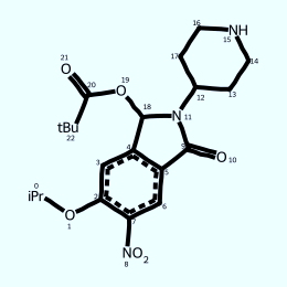 CC(C)Oc1cc2c(cc1[N+](=O)[O-])C(=O)N(C1CCNCC1)C2OC(=O)C(C)(C)C